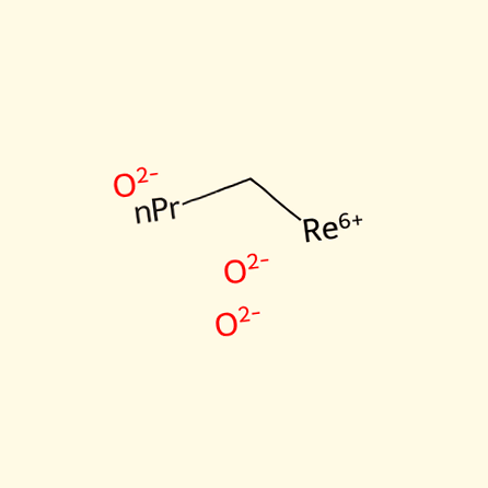 CCC[CH2][Re+6].[O-2].[O-2].[O-2]